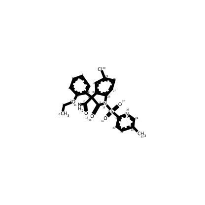 CCOc1ccccc1C1(C(N)=O)C(=O)N(S(=O)(=O)c2ccc(C)cn2)c2ccc(Cl)cc21